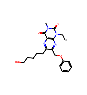 CC(C)Cn1c(=O)n(C)c(=O)c2nc(CCCCCO)c(COc3ccccc3)nc21